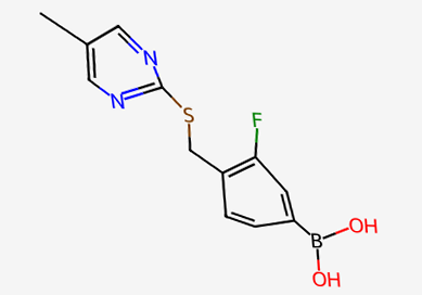 Cc1cnc(SCc2ccc(B(O)O)cc2F)nc1